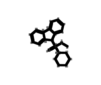 COP(=O)(C1c2ccccc2-c2ccccc21)N1CCCCC1